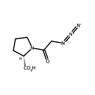 [N-]=[N+]=NCC(=O)N1CCC[C@H]1C(=O)O